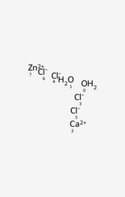 O.O.[Ca+2].[Cl-].[Cl-].[Cl-].[Cl-].[Zn+2]